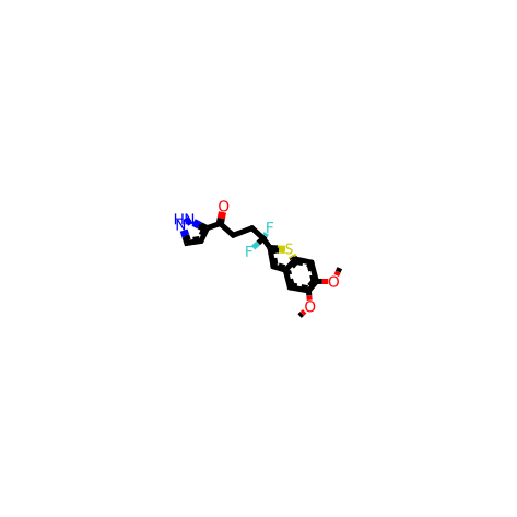 COc1cc2cc(C(F)(F)CCC(=O)c3ccn[nH]3)sc2cc1OC